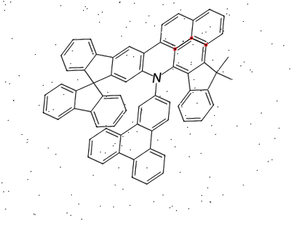 CC1(C)c2ccccc2-c2c(N(c3ccc4c5ccccc5c5ccccc5c4c3)c3cc4c(cc3-c3ccc5ccccc5c3)-c3ccccc3C43c4ccccc4-c4ccccc43)cccc21